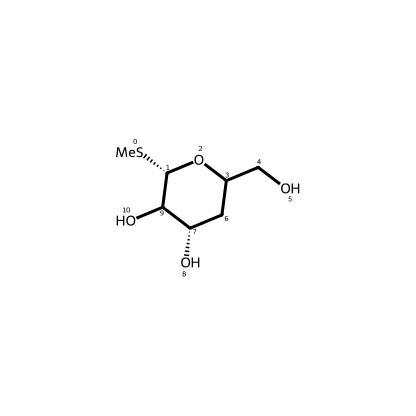 CS[C@@H]1OC(CO)C[C@H](O)C1O